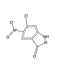 O=C1[N]Nc2cc(Cl)c([N+](=O)[O-])cc21